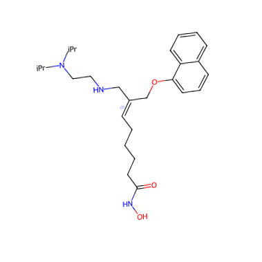 CC(C)N(CCNC/C(=C/CCCCC(=O)NO)COc1cccc2ccccc12)C(C)C